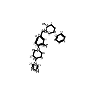 C[C@H]1CC[C@H](c2ccccc2)SN1Cc1ccc(N2CCC(n3cnnc3)CC2)c(F)c1